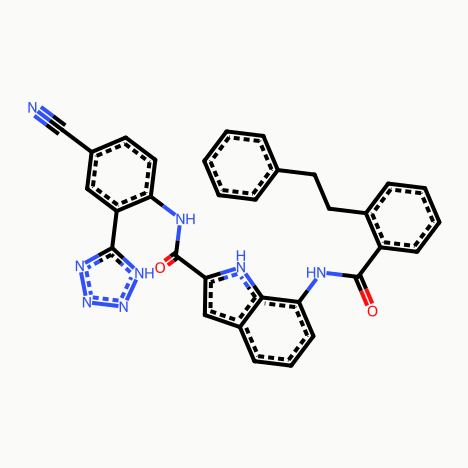 N#Cc1ccc(NC(=O)c2cc3cccc(NC(=O)c4ccccc4CCc4ccccc4)c3[nH]2)c(-c2nnn[nH]2)c1